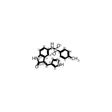 Cc1ccc(S(=O)(=O)Nc2ccc3c(c2)/C(=C\c2cn[nH]c2)C(=O)N3)cc1